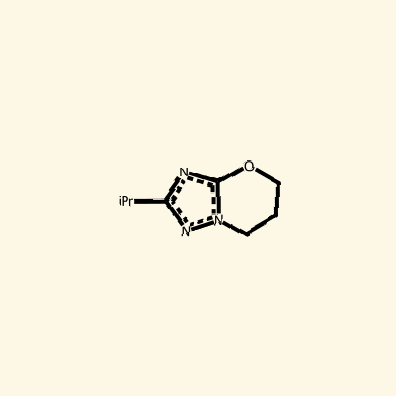 CC(C)c1nc2n(n1)CCCO2